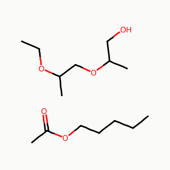 CCCCCOC(C)=O.CCOC(C)COC(C)CO